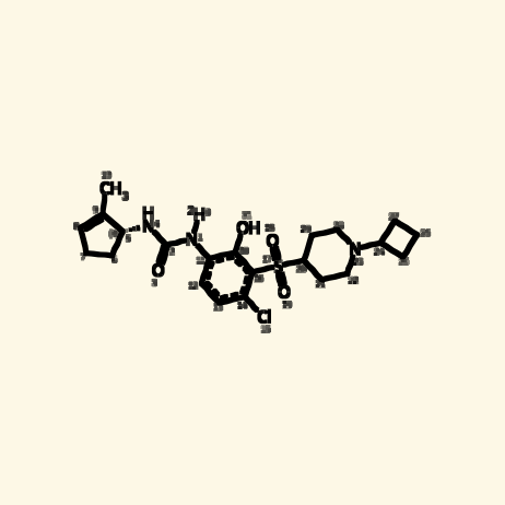 [2H]N(C(=O)N[C@@H]1CCC=C1C)c1ccc(Cl)c(S(=O)(=O)C2CCN(C3CCC3)CC2)c1O